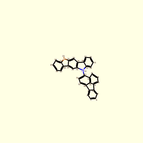 c1ccc2c(c1)-c1cccc3c(-n4c5ccccc5c5cc6sc7ccccc7c6cc54)ccc-2c13